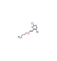 CCCCOC=Cc1nc(Cl)ncc1Br